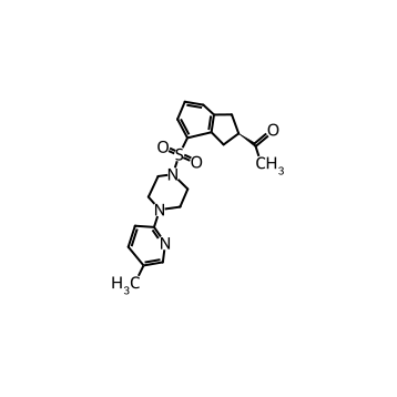 CC(=O)[C@@H]1Cc2cccc(S(=O)(=O)N3CCN(c4ccc(C)cn4)CC3)c2C1